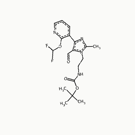 Cc1nc(-c2cccnc2OC(F)F)c(C=O)n1CCNC(=O)OC(C)(C)C